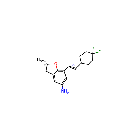 C[C@H]1Cc2cc(N)cc(/C=C/C3CCC(F)(F)CC3)c2O1